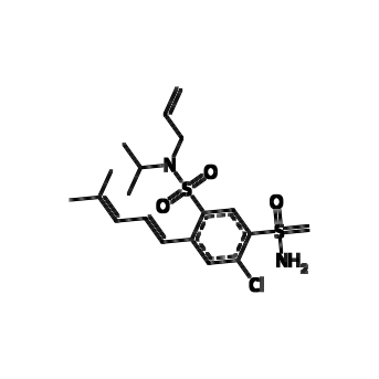 C=CCN(C(C)C)S(=O)(=O)c1cc(S(=C)(N)=O)c(Cl)cc1C=CC=C(C)C